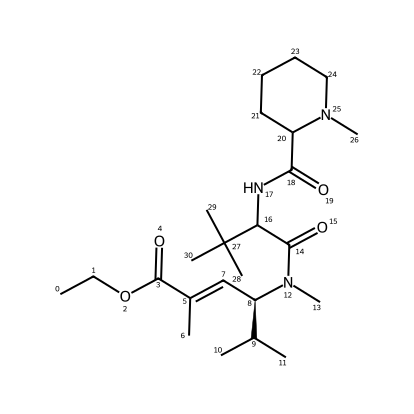 CCOC(=O)/C(C)=C/[C@H](C(C)C)N(C)C(=O)C(NC(=O)C1CCCCN1C)C(C)(C)C